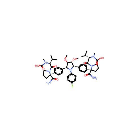 CO[C@H]1[C@H](OC)[C@H](c2ccc([C@]3(C(N)=O)CCCN3C(=O)[C@H](C(C)C)N(C)C(=O)O)cc2)N(c2ccc(F)cc2)[C@H]1c1ccc([C@]2(C(N)=O)CCCN2C(=O)[C@H](C(C)C)N(C)C(=O)O)cc1